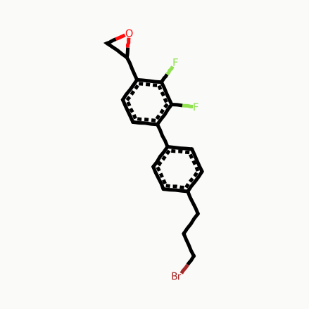 Fc1c(-c2ccc(CCCBr)cc2)ccc(C2CO2)c1F